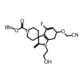 C=C1N(CCO)C2=C(C(F)=CC(OCC#N)C2)C12CCN(C(=O)OC(C)(C)C)CC2